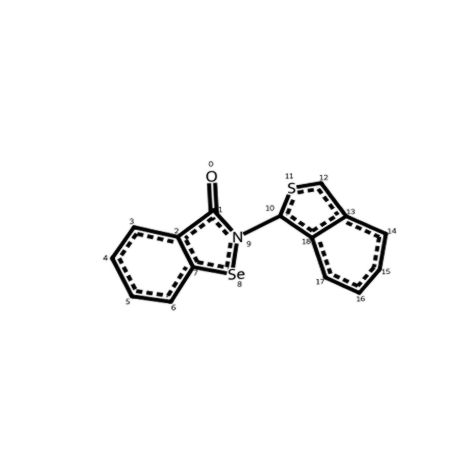 O=c1c2ccccc2[se]n1-c1scc2ccccc12